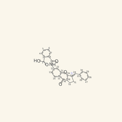 O=C(O)c1ccccc1C(=O)Nc1ccc2c(=O)c3c(oc2c1)/C(=C/c1ccccc1)CC3